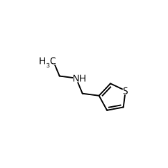 CCNCc1ccsc1